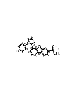 CC(C)c1ccc2c(n1)oc1c(-c3nccn3-c3ccccc3)cccc12